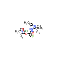 Cc1ccc(-n2nc(C(C)(C)C)cc2NN(C=O)Cc2cc(F)ccc2COC2=CC(C)N(C(C)C)C(=O)C2Cl)cc1